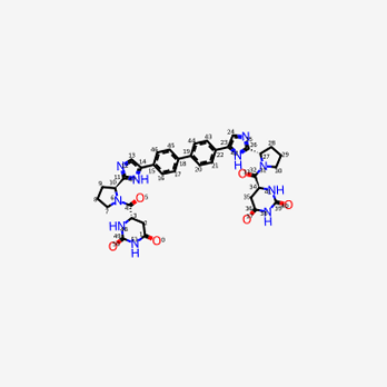 O=C1C[C@@H](C(=O)N2CCC[C@H]2c2ncc(-c3ccc(-c4ccc(-c5cnc([C@@H]6CCCN6C(=O)[C@@H]6CC(=O)NC(=O)N6)[nH]5)cc4)cc3)[nH]2)NC(=O)N1